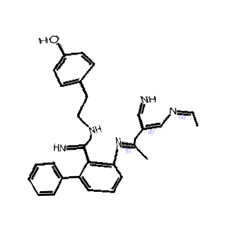 C\C=N/C=C(C=N)/C(C)=N/c1cccc(-c2ccccc2)c1C(=N)NCCc1ccc(O)cc1